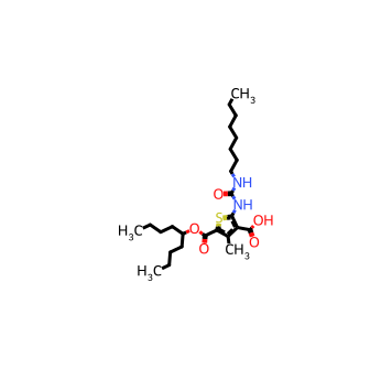 CCCCCCCCNC(=O)Nc1sc(C(=O)OC(CCCC)CCCC)c(C)c1C(=O)O